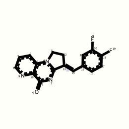 O=c1nc2n(c3cccnc13)CC/C2=C\c1ccc(F)c(F)c1